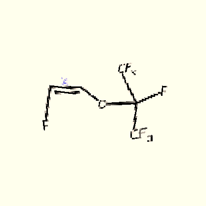 F/C=C\OC(F)(C(F)(F)F)C(F)(F)F